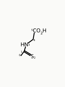 CC(=S)NCC(=O)O